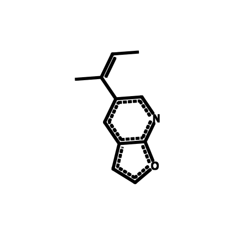 C/C=C(/C)c1cnc2occc2c1